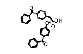 O=C(c1ccccc1)c1ccc(CP(=O)(O)Oc2ccc(C(=O)c3ccccc3)cc2)cc1